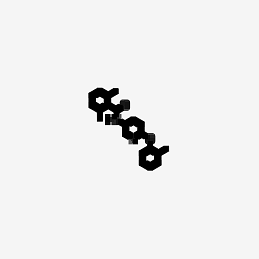 Cc1ccccc1Oc1ccc(NC(=O)c2c(C)cccc2C)cn1